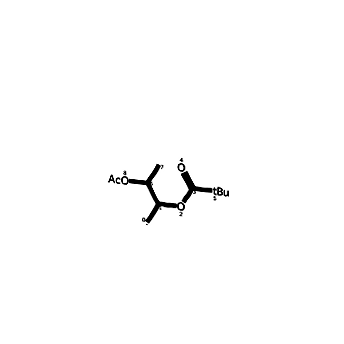 [CH2]C(OC(=O)C(C)(C)C)C(C)OC(C)=O